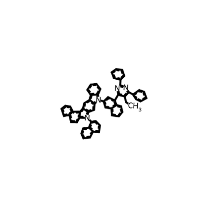 CCc1c(-c2ccccc2)nc(-c2ccccc2)nc1-c1cc(-n2c3ccccc3c3cc4c5c6ccccc6ccc5n(-c5cccc6ccccc56)c4cc32)cc2ccccc12